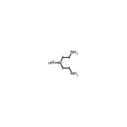 CCCN(CCN)CCN